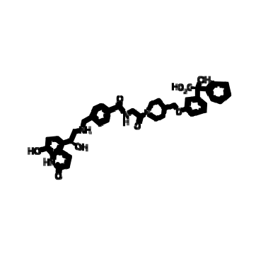 O=C(NCC(=O)N1CCC(COc2cccc([C@](O)(C(=O)O)c3ccccc3)c2)CC1)c1ccc(CNC[C@H](O)c2ccc(O)c3[nH]c(=O)ccc23)cc1